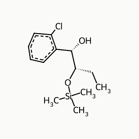 CC[C@H](O[Si](C)(C)C)[C@@H](O)c1ccccc1Cl